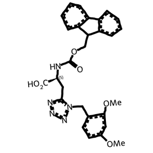 COc1ccc(Cn2nnnc2C[C@H](NC(=O)OCC2c3ccccc3-c3ccccc32)C(=O)O)c(OC)c1